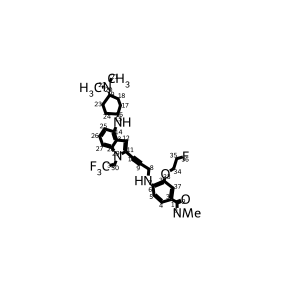 CNC(=O)c1ccc(NCC#Cc2cc3c(N[C@H]4CC[C@H](N(C)C)CC4)cccc3n2CC(F)(F)F)c(OCCF)c1